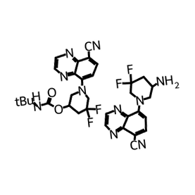 CC(C)(C)NC(=O)OC1CN(c2ccc(C#N)c3nccnc23)CC(F)(F)C1.N#Cc1ccc(N2CC(N)CC(F)(F)C2)c2nccnc12